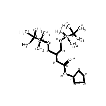 CC(C)(C)[Si](C)(C)OCC(CO[Si](C)(C)C(C)(C)C)CC(=O)OC1CCCC1